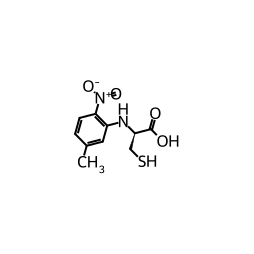 Cc1ccc([N+](=O)[O-])c(N[C@H](CS)C(=O)O)c1